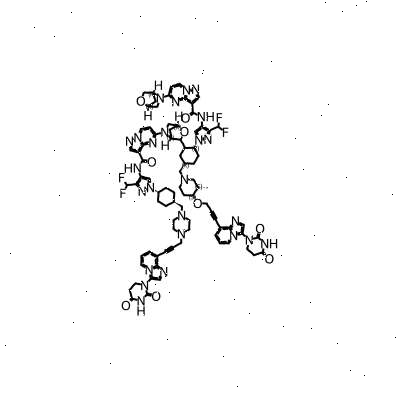 C[C@H]1CN(C[C@@H]2CC[C@@H](n3cc(NC(=O)c4cnn5ccc(N6C[C@H]7C[C@@H]6CO7)nc45)c(C(F)F)n3)C(C3O[C@@H]4C[C@H]3N(c3ccn5ncc(C(=O)Nc6cn([C@H]7CC[C@H](CN8CCN(CC#Cc9cccn%10c(N%11CCC(=O)NC%11=O)cnc9%10)CC8)CC7)nc6C(F)F)c5n3)C4)C2)CC[C@@H]1OCC#Cc1cccn2c(N3CCC(=O)NC3=O)cnc12